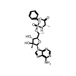 COC(=O)[C@H](C)NP(=O)(Oc1ccccc1)O[C@H](C)[C@H]1O[C@@H](n2cnc3c(N)ncnc32)[C@](C)(O)[C@@H]1O